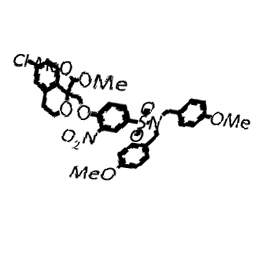 COc1ccc(CN(Cc2ccc(OC)cc2)S(=O)(=O)c2ccc(OCC3(C(OC)OC)OCCc4cc(Cl)ccc43)c([N+](=O)[O-])c2)cc1